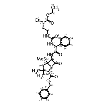 CCN(CCNC(=O)NC(C(=O)N[C@H]1C(=O)N2[C@@H](C(=O)OCc3ccccc3)C(C)(C)SC12SC)c1ccccc1)C(=O)OCC(Cl)(Cl)Cl